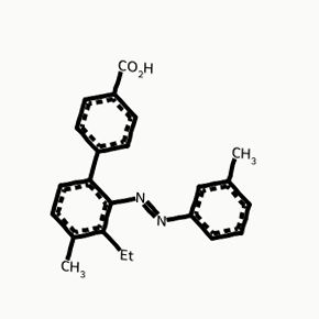 CCc1c(C)ccc(-c2ccc(C(=O)O)cc2)c1N=Nc1cccc(C)c1